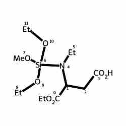 CCOC(=O)C(CC(=O)O)N(CC)[Si](OC)(OCC)OCC